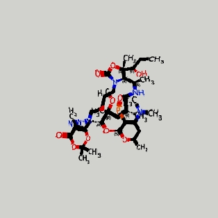 CC[C@@H](O)[C@@]1(C)OC(=O)N(CCCCN=[N+]=[N-])[C@@H]1[C@@H](C)NC[C@H](C)C[C@@](C)(OC)[C@@H](CC1=C(C)C(=O)OC(C)(C)O1)O[C@@H]1OC(C)CC(N(C)C)C1P=O